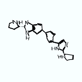 c1cc(-c2cnc([C@H]3CCCN3)[nH]2)ccc1-c1ccc2nc([C@@H]3CCCN3)[nH]c2c1